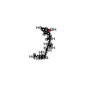 O=C(O)CCC(NC(=O)NC(CCCCNC(=O)CCC(NC(=O)CCC1N/C(=N/c2ccc3c(c2)C(=O)OC32c3ccc(O)cc3Oc3cc(O)ccc32)SC1=O)C(=O)O)C(=O)O)C(=O)O